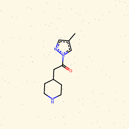 Cc1cnn(C(=O)CC2CCNCC2)c1